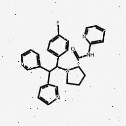 O=C(Nc1ccccn1)[C@@H]1CCCN1C(c1ccc(F)cc1)C(c1cccnc1)c1cccnc1